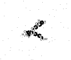 COc1ccc2c(c1)CCN(C1CCN(C(=O)O[C@H](Cc3cc(Cl)c(N)c(C(F)(F)F)c3)C(=O)N3CCC(C4CCN(CC(=O)O)CC4)CC3)CC1)C(=O)N2